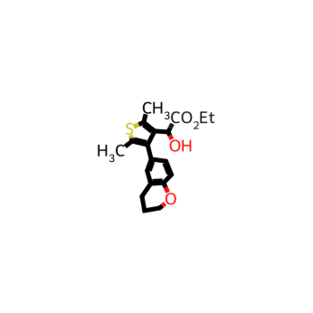 CCOC(=O)C(O)c1c(C)sc(C)c1-c1ccc2c(c1)CCCO2